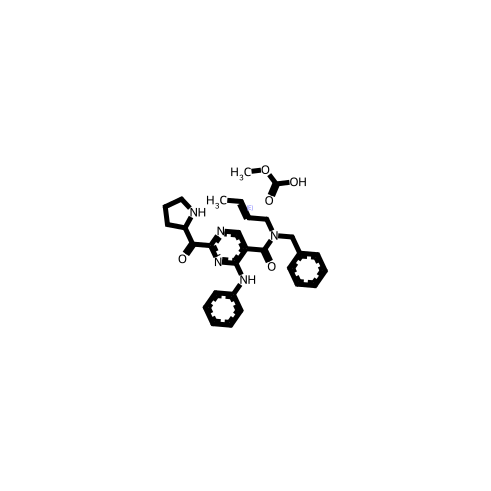 C/C=C/CN(Cc1ccccc1)C(=O)c1cnc(C(=O)C2CCCN2)nc1Nc1ccccc1.COC(=O)O